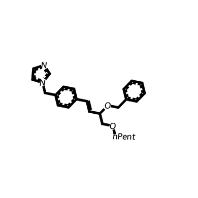 CCCCCOCC(C=Cc1ccc(Cn2ccnc2)cc1)OCc1ccccc1